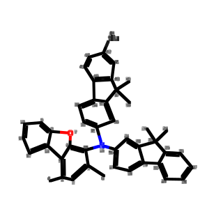 Cc1cc(C)c2c(oc3ccccc32)c1N(c1ccc2c(c1)C(C)(C)c1ccccc1-2)c1ccc2c(c1)C(C)(C)c1cc(C(C)(C)C)ccc1-2